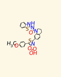 COc1ccc(-c2sc(-c3ccc4c(c3)N(C(=O)Nc3nc5ccccc5s3)CCC4)nc2OC(=O)O)cc1